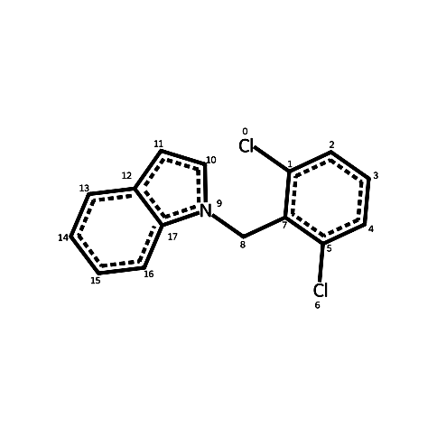 Clc1cccc(Cl)c1Cn1ccc2ccccc21